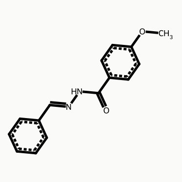 COc1ccc(C(=O)N/N=C/c2ccccc2)cc1